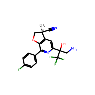 C[C@@]1(C#N)COc2c1cc(C(O)(CN)C(F)(F)F)nc2-c1ccc(F)cc1